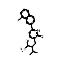 CC(C)C(Cc1ccc(-c2ccc3cccc(F)c3c2)[nH]c1=O)C(N)O